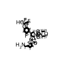 NCc1ccc(S(=O)(=O)C[C@H]2C[C@@H](c3ccccc3F)CN2S(=O)(=O)N2CCOCC2)s1.O=C(O)C(F)(F)F